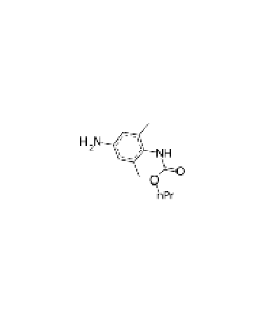 CCCOC(=O)Nc1c(C)cc(N)cc1C